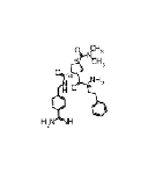 CN(C)C(=O)[C@@H]1C[C@@H](C(=O)NCc2ccc(C(=N)N)cc2)N(C(=O)[C@H](N)CCc2ccccc2)C1